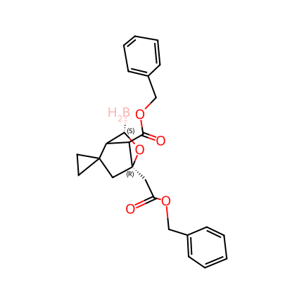 B[C@@H]1O[C@@]2(CC(=O)OCc3ccccc3)CC3(CC3)C1C2C(=O)OCc1ccccc1